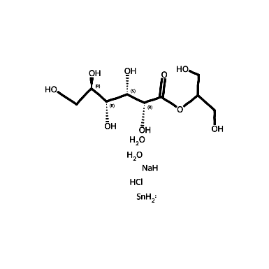 Cl.O.O.O=C(OC(CO)CO)[C@H](O)[C@@H](O)[C@H](O)[C@H](O)CO.[NaH].[SnH2]